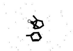 CC12CCC(CC1=O)C2(C)C.Cc1ccccc1